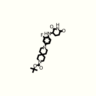 CC(C)(C)OC(=O)N1CCC2(CC1)CCN(c1ccc(NC3CCC(=O)NC3=O)c(F)c1)CC2